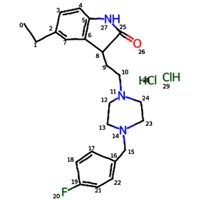 CCc1ccc2c(c1)C(CCN1CCN(Cc3ccc(F)cc3)CC1)C(=O)N2.Cl.Cl